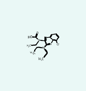 CCN(CC)c1nc2c(Cl)cccc2cc1N(CC)C(=O)O